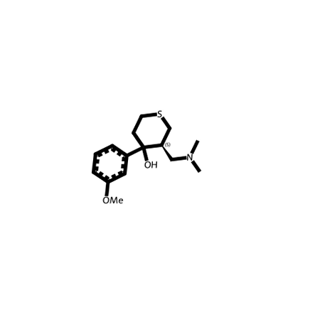 COc1cccc(C2(O)CCSC[C@H]2CN(C)C)c1